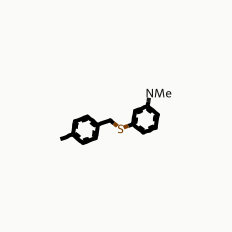 CNc1cccc(SCc2ccc(C)cc2)c1